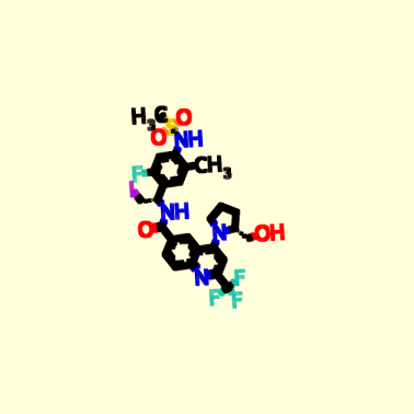 Cc1cc([C@@H](CI)NC(=O)c2ccc3nc(C(F)(F)F)cc(N4CCC[C@@H]4CO)c3c2)c(F)cc1NS(C)(=O)=O